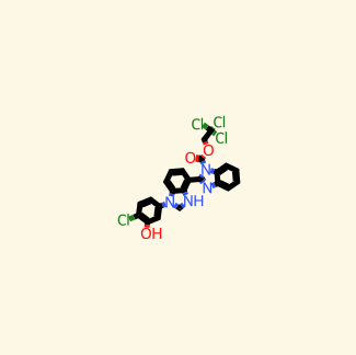 O=C(OCC(Cl)(Cl)Cl)n1c(-c2cccc3c2NCN3c2ccc(Cl)c(O)c2)nc2ccccc21